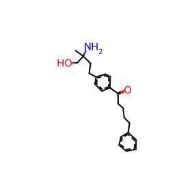 CC(N)(CO)CCc1ccc(C(=O)CCCCc2ccccc2)cc1